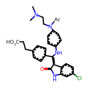 CC(=O)N(CCN(C)C)c1ccc(NC(=C2C(=O)Nc3cc(Cl)ccc32)c2ccc(CCC(=O)O)cc2)cc1